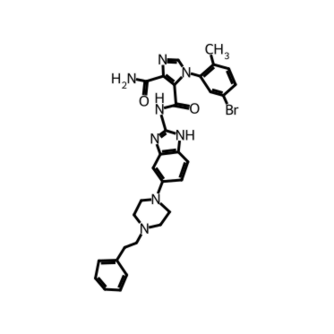 Cc1ccc(Br)cc1-n1cnc(C(N)=O)c1C(=O)Nc1nc2cc(N3CCN(CCc4ccccc4)CC3)ccc2[nH]1